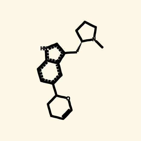 CN1CCC[C@H]1Cc1c[nH]c2ccc(C3CCC=CO3)cc12